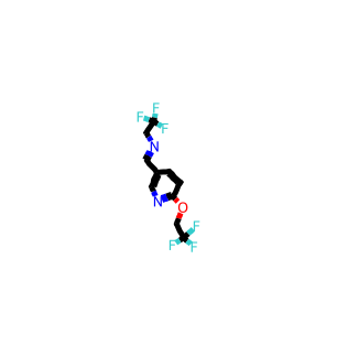 FC(F)(F)C/N=C/c1ccc(OCC(F)(F)F)nc1